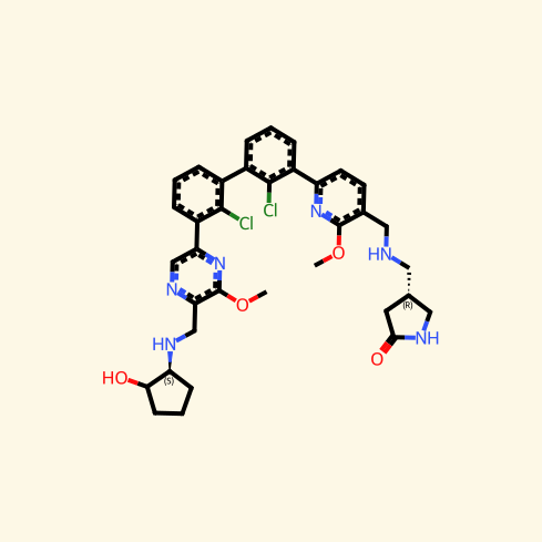 COc1nc(-c2cccc(-c3cccc(-c4cnc(CN[C@H]5CCCC5O)c(OC)n4)c3Cl)c2Cl)ccc1CNC[C@@H]1CNC(=O)C1